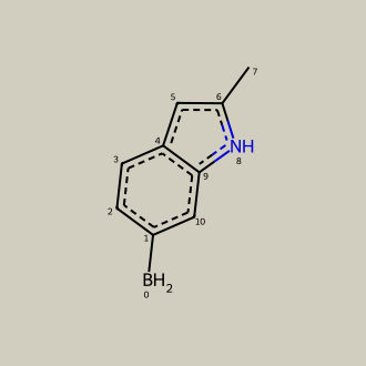 Bc1ccc2cc(C)[nH]c2c1